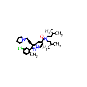 Cc1ccc(Cl)cc1-c1nn2ccc(C(=O)N(CCC(C)C)CCC(C)C)cc2c1C#CCN1CCCCC1